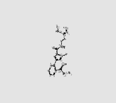 CC/N=C(/CCNC(=O)c1cc(-c2ncccc2C(N)=O)cn1C)NCC